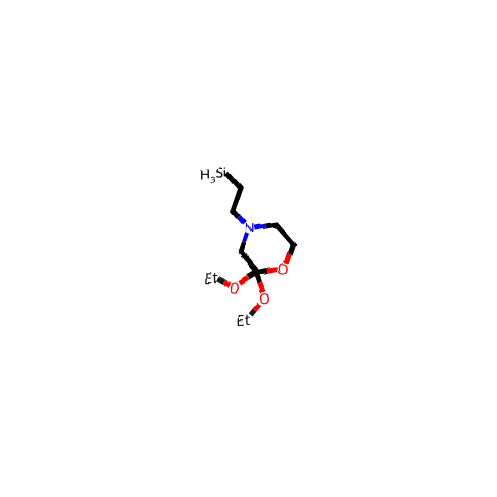 CCOC1(OCC)CN(CC[SiH3])CCO1